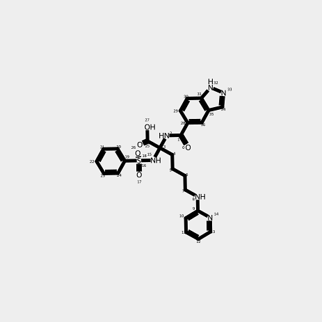 O=C(NC(CCCCNc1ccccn1)(NS(=O)(=O)c1ccccc1)C(=O)O)c1ccc2[nH]ncc2c1